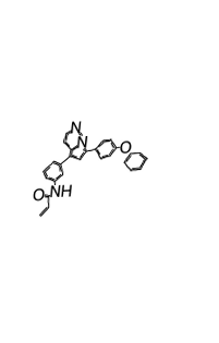 C=CC(=O)Nc1cccc(-c2cc(-c3ccc(OC4=CC=C=C=C4)cc3)n3cnccc23)c1